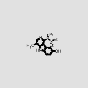 CCCN(c1ncc(C)c2[nH]c3ccc(O)cc3c12)N(CC)CC